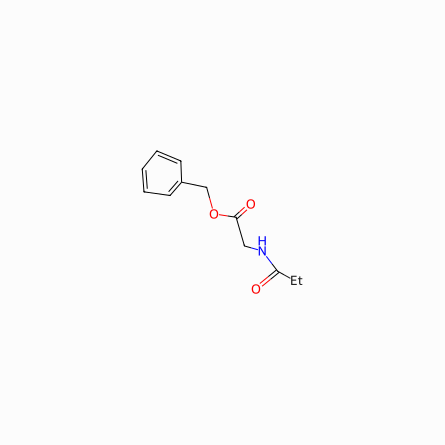 CCC(=O)NCC(=O)OCc1ccccc1